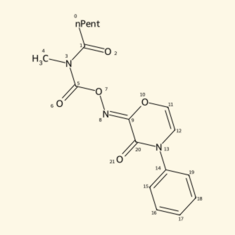 CCCCCC(=O)N(C)C(=O)ON=c1occn(-c2ccccc2)c1=O